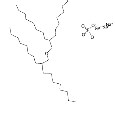 CCCCCCCCC(CCCCCCCC)COCC(CCCCCCCC)CCCCCCCC.O=P([O-])([O-])[O-].[Na+].[Na+].[Na+]